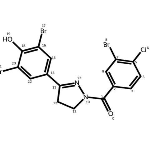 O=C(c1ccc(Cl)c(Br)c1)N1CCC(c2cc(Br)c(O)c(Br)c2)=N1